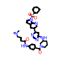 CN(C)CC=CC(=O)Nc1ccc(C(=O)N2CCCC(Nc3cc(-c4cnc5c(ccn5S(=O)(=O)c5ccccc5)c4)ncn3)C2)cc1